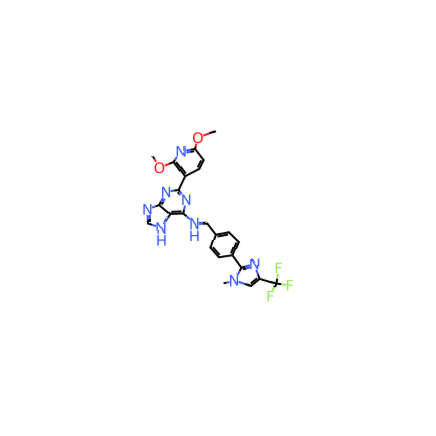 COc1ccc(-c2nc(NCc3ccc(-c4nc(C(F)(F)F)cn4C)cc3)c3[nH]cnc3n2)c(OC)n1